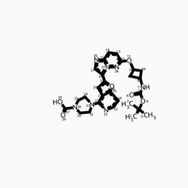 CC(C)(C)OC(=O)NC1CC(Oc2ccc3ncc(-c4cc5c(N6CCN(C(=O)O)CC6)nccc5o4)n3n2)C1